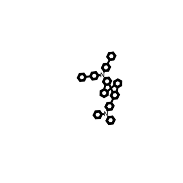 c1ccc(-c2ccc(N(c3ccc(-c4ccccc4)cc3)c3ccc4c(c3)-c3ccccc3C43c4ccccc4-c4ccc(-c5ccc(N(c6ccccc6)c6ccccc6)cc5)cc43)cc2)cc1